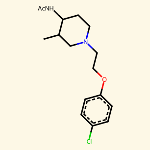 CC(=O)NC1CCN(CCOc2ccc(Cl)cc2)CC1C